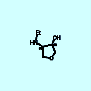 CCN[C@@H]1COC[C@@H]1O